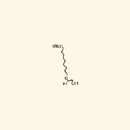 CCCCCCCCCCCCCCCCCCO[C@@H](CC)CO